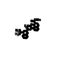 COC(=O)N1CCc2cccc(N(CC(=O)N(CCN(C)C)Cc3ccccc3)C(=O)C(F)(F)F)c2C1